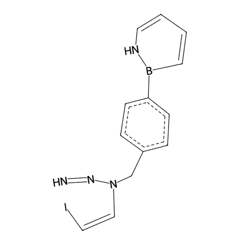 N=NN(/C=C\I)Cc1ccc(B2C=CC=CN2)cc1